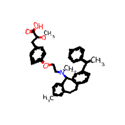 COC(Cc1ccc(OCCN(C)C2c3ccc(C)cc3CCc3ccc(C(C)c4ccccc4)cc32)cc1)C(=O)O